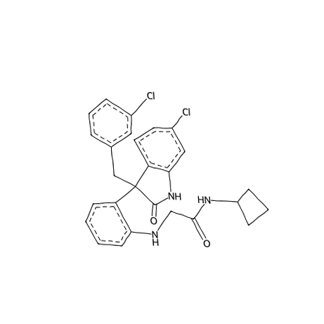 O=C(CNc1ccccc1C1(Cc2cccc(Cl)c2)C(=O)Nc2cc(Cl)ccc21)NC1CCC1